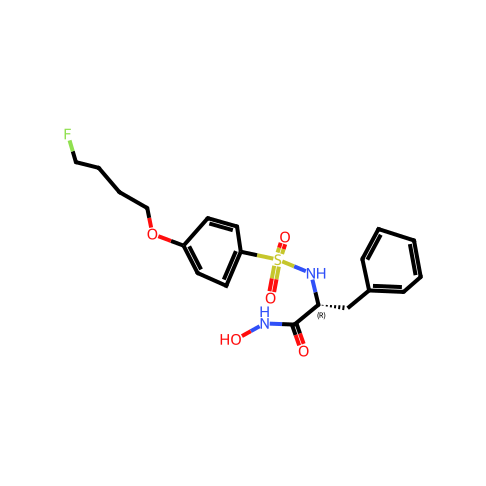 O=C(NO)[C@@H](Cc1ccccc1)NS(=O)(=O)c1ccc(OCCCCF)cc1